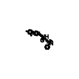 Cc1ccc(N2CCN(CCNC(=O)CCn3ccnc3-c3ccccc3)CC2)c(C)c1